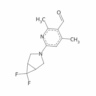 Cc1cc(N2CC3C(C2)C3(F)F)nc(C)c1C=O